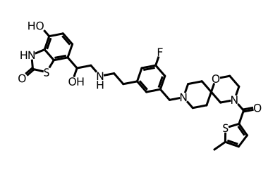 Cc1ccc(C(=O)N2CCOC3(CCN(Cc4cc(F)cc(CCNCC(O)c5ccc(O)c6[nH]c(=O)sc56)c4)CC3)C2)s1